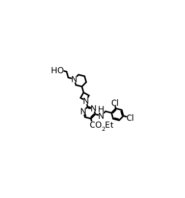 CCOC(=O)c1cnc(N2CC(C3CCCN(CCO)C3)C2)nc1NCc1ccc(Cl)cc1Cl